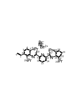 C=Cc1ccc(C(C)C)c(/N=C(\C)c2cccc(/C(C)=N/c3c(C(C)C)cccc3C(C)C)n2)c1C(C)C.[Br-].[Br-].[Fe+2]